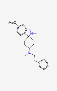 COc1ccc(C2(N(C)C)CCC(N(C)CCc3ccccc3)CC2)cc1